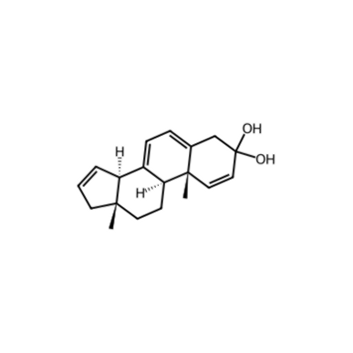 C[C@@]12CC=C[C@H]1C1=CC=C3CC(O)(O)C=C[C@]3(C)[C@H]1CC2